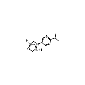 CC(C)c1ccc(N2C[C@H]3C[C@@H]2CO3)cn1